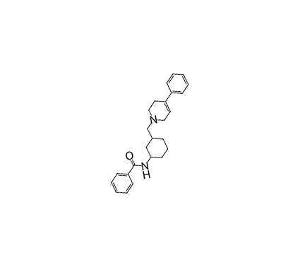 O=C(NC1CCCC(CN2CC=C(c3ccccc3)CC2)C1)c1ccccc1